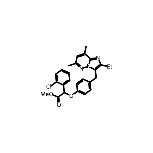 CCc1nc2c(C)cc(C)nn2c1Cc1ccc(OC(C(=O)OC)c2ccccc2Cl)cc1